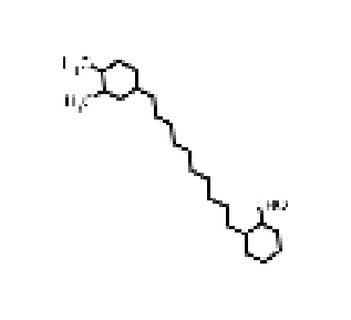 CC1CCC(CCCCCCCCCCC2CCCCC2C=O)CC1C